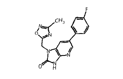 Cc1noc(Cn2c(=O)[nH]c3ncc(-c4ccc(F)cc4)cc32)n1